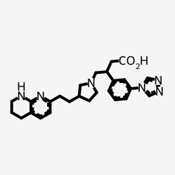 O=C(O)CC(CN1CCC(CCc2ccc3c(n2)NCCC3)C1)c1cccc(-n2cnnc2)c1